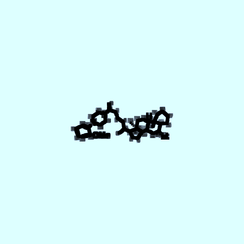 C=C(CCCC(C)C1CCC2C3C[C@H](CC)C4CCCCC4(C)[C@H]3CC[C@]12C)N1CCN(c2ccccc2OC)CC1